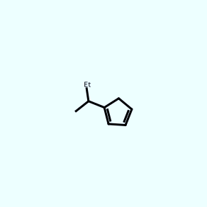 CCC(C)C1=CC=CC1